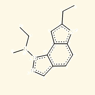 CCc1cc2c(ccc3cnn(N(C)CC)c32)s1